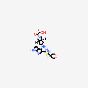 C[C@H](O)C(=O)N1C[C@H]2CC(Nc3c(-c4nnc(C5(F)CCOCC5)s4)cnc4[nH]ccc34)C[C@H]2C1